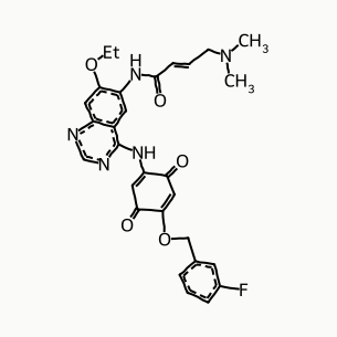 CCOc1cc2ncnc(NC3=CC(=O)C(OCc4cccc(F)c4)=CC3=O)c2cc1NC(=O)C=CCN(C)C